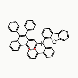 c1ccc(-c2ccccc2N(c2ccc3c(c2)c(-c2ccccc2)c(-c2ccccc2)c2ccccc23)c2cccc3c2oc2ccccc23)cc1